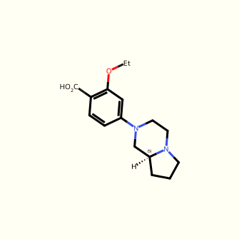 CCOc1cc(N2CCN3CCC[C@H]3C2)ccc1C(=O)O